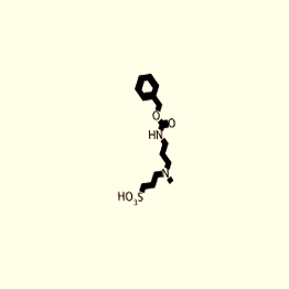 CN(CCCNC(=O)OCc1ccccc1)CCCS(=O)(=O)O